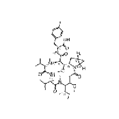 CC[C@H](C)C(C(CC(=O)N1[C@H](C(OC)[C@@H](C)C(=O)N[C@@H](Cc2ccc(C)cc2)C(=O)O)C[C@@H]2C[C@@H]21)OC)N(C)C(=O)[C@@H](NC(=O)[C@@H](NC)C(C)C)C(C)C